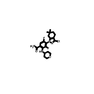 CCc1nn(-c2c(F)cc(C(N)=O)c(NC3CCOCC3)c2F)c2c1CCC(C)(C)C2